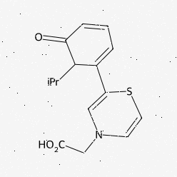 CC(C)C1C(=O)C=CC=C1C1=CN(CC(=O)O)C=CS1